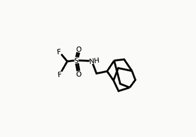 O=S(=O)(NCC1C2CC3CC(C2)CC1C3)C(F)F